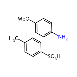 COc1ccc(N)cc1.Cc1ccc(S(=O)(=O)O)cc1